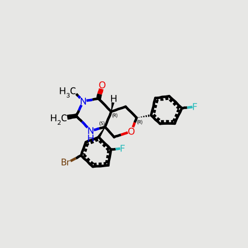 C=C1N[C@@]2(c3cc(Br)ccc3F)CO[C@@H](c3ccc(F)cc3)C[C@H]2C(=O)N1C